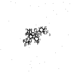 Cn1nnc(C[C@@](NC(=O)c2ccc(F)c(C(F)(F)F)c2)(c2ccc(F)cc2)c2cc(F)cc(OC(F)(F)C(F)F)c2)n1